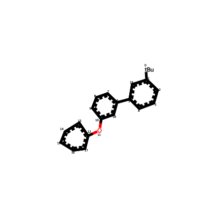 CC(C)(C)c1cccc(-c2cccc(Oc3ccccc3)c2)c1